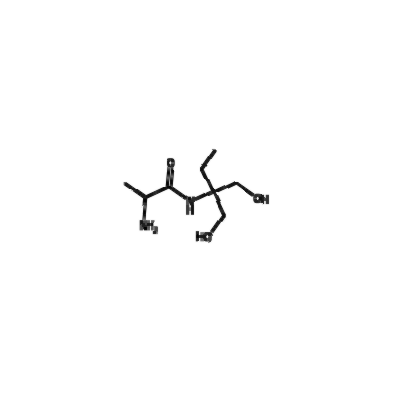 CCC(CO)(CO)NC(=O)C(C)N